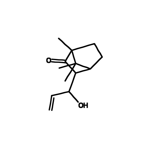 C=CC(O)C1C(=O)C2(C)CCC1C2(C)C